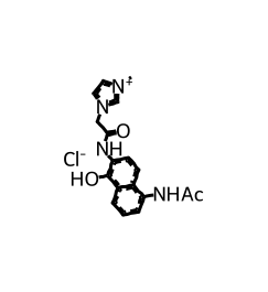 CC(=O)Nc1cccc2c(O)c(NC(=O)Cn3cc[n+](C)c3)ccc12.[Cl-]